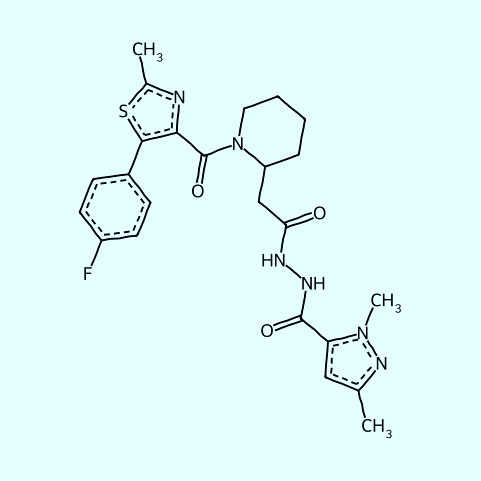 Cc1cc(C(=O)NNC(=O)CC2CCCCN2C(=O)c2nc(C)sc2-c2ccc(F)cc2)n(C)n1